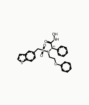 O=C(NO)[C@@H](c1ccccc1)N(CCOc1ccccc1)S(=O)(=O)Cc1ccc2sccc2c1